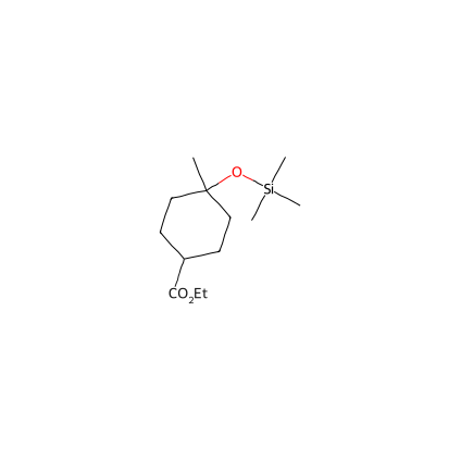 CCOC(=O)C1CCC(C)(O[Si](C)(C)C)CC1